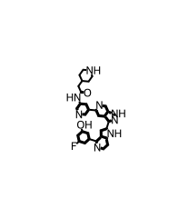 O=C(CC1CCNCC1)Nc1cncc(-c2cc3c(-c4cc5c(-c6cc(O)cc(F)c6)nccc5[nH]4)n[nH]c3cn2)c1